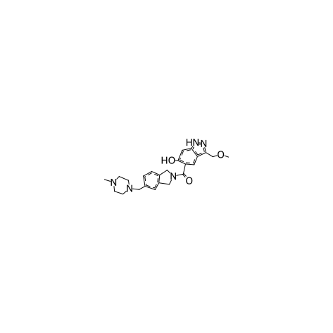 COCc1n[nH]c2cc(O)c(C(=O)N3Cc4ccc(CN5CCN(C)CC5)cc4C3)cc12